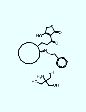 NC(CO)(CO)CO.O=C(CCC1CCCCCCCCCCC1=NOCc1ccccc1)C1=C(O)CSC1=O